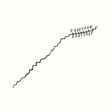 CCCCCCCCCCCCCCCCCCCCCCCCCCCCCCC(F)(F)C(F)(F)C(F)(F)C(F)(F)C(F)(F)C(F)(F)C(F)(F)C(F)(F)F